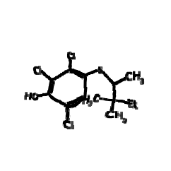 CCC(C)(C)C(C)Sc1cc(Cl)c(O)c(Cl)c1Cl